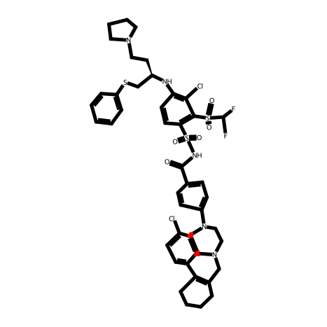 O=C(NS(=O)(=O)c1ccc(N[C@H](CCN2CCCC2)CSc2ccccc2)c(Cl)c1S(=O)(=O)C(F)F)c1ccc(N2CCN(CC3=C(c4ccc(Cl)cc4)CCCC3)CC2)cc1